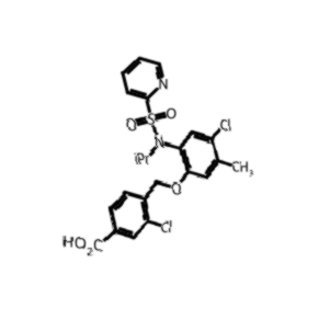 Cc1cc(OCc2ccc(C(=O)O)cc2Cl)c(N(C(C)C)S(=O)(=O)c2ccccn2)cc1Cl